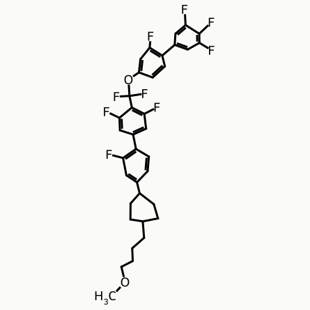 COCCCCC1CCC(c2ccc(-c3cc(F)c(C(F)(F)Oc4ccc(-c5cc(F)c(F)c(F)c5)c(F)c4)c(F)c3)c(F)c2)CC1